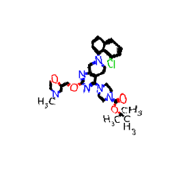 CN1CCOC(COc2nc3c(c(N4CCN(C(=O)OC(C)(C)C)CC4)n2)CCN(c2cccc4cccc(Cl)c24)C3)C1